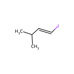 CC(C)/C=C/I